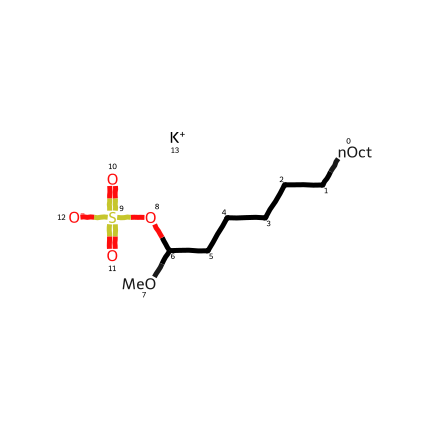 CCCCCCCCCCCCCC(OC)OS(=O)(=O)[O-].[K+]